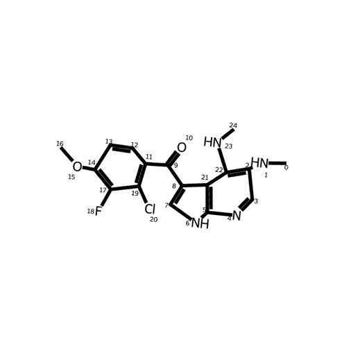 CNc1cnc2[nH]cc(C(=O)c3ccc(OC)c(F)c3Cl)c2c1NC